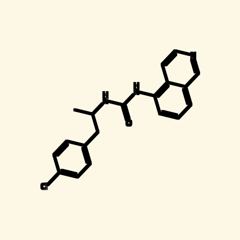 CC(Cc1ccc(Cl)cc1)NC(=O)Nc1cccc2cnccc12